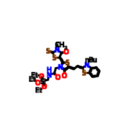 CCCCN1/C(=C/C=c2\s/c(=C3/SC(=S)N(C)C3=O)n(CC(=O)NC[Si](OCC)(OCC)OCC)c2=O)Sc2ccccc21